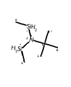 C[SiH2]N([SiH2]C)C(C)(C)C